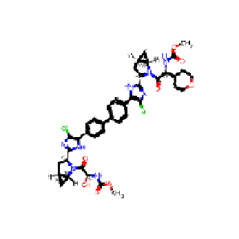 COC(=O)N[C@@H](O)C(=O)N1[C@@H]2C[C@@H]2C[C@H]1c1nc(Cl)c(-c2ccc(-c3ccc(-c4[nH]c([C@@H]5C[C@H]6C[C@H]6N5C(=O)[C@@H](NC(=O)OC)C5CCOCC5)nc4Cl)cc3)cc2)[nH]1